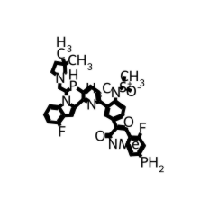 CNC(=O)c1c(-c2ccc(P)cc2F)oc2cc(N(C)[S+](C)[O-])c(-c3ccc4c(n3)-c3cc5c(F)cccc5n3C(CN3CCC(C)(C)C3)P4)cc12